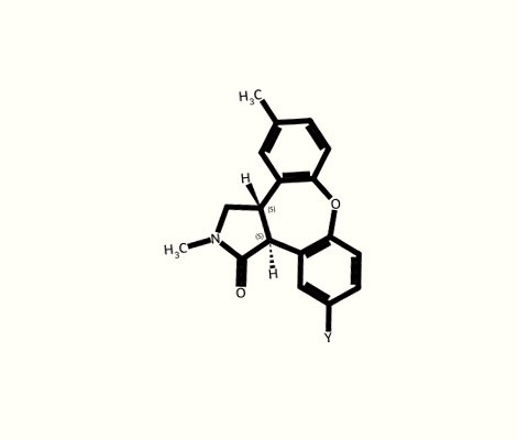 Cc1ccc2c(c1)[C@H]1CN(C)C(=O)[C@@H]1c1c[c]([Y])ccc1O2